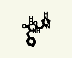 O=C(Cc1c[nH]cn1)N[C@@H](Cc1ccccc1)C(=O)O